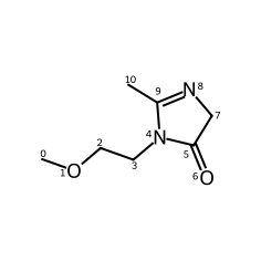 COCCN1C(=O)CN=C1C